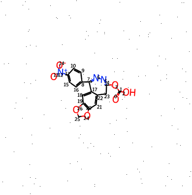 O=C(O)OC1=NN=C(c2ccc([N+](=O)[O-])cc2)c2cc3c(cc2C1)OCO3